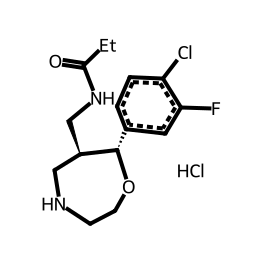 CCC(=O)NC[C@@H]1CNCCO[C@H]1c1ccc(Cl)c(F)c1.Cl